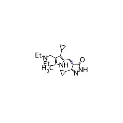 CCN(CC)Cc1c(C)[nH]c(/C=C2/C(=O)NN=C2C2CC2)c1C1CC1